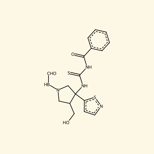 O=CBN1CC(CO)C(NC(=S)NC(=O)c2ccccc2)(c2ccns2)C1